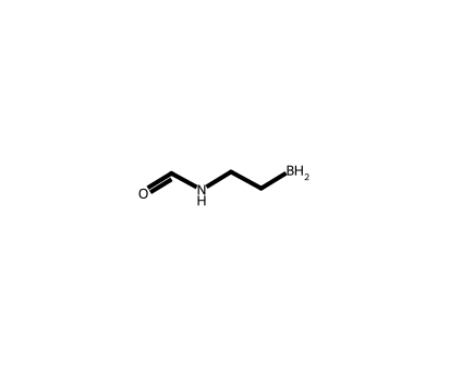 BCCNC=O